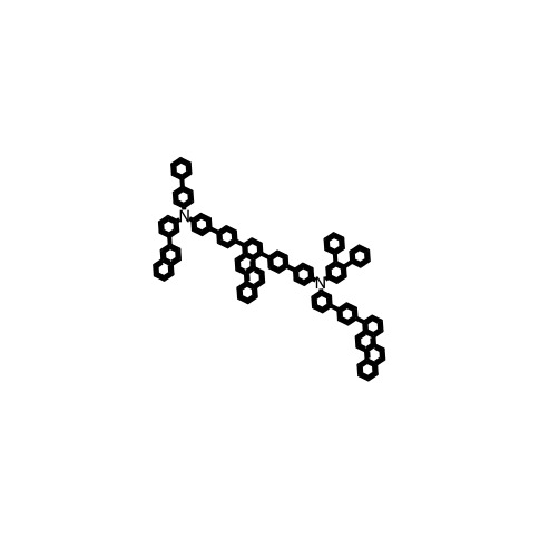 c1ccc(-c2ccc(N(c3ccc(-c4ccc(-c5ccc(-c6ccc(-c7ccc(N(c8cccc(-c9ccc(-c%10cccc%11c%10ccc%10c%12ccccc%12ccc%11%10)cc9)c8)c8ccc(-c9ccccc9)c(-c9ccccc9)c8)cc7)cc6)c6c5ccc5c7ccccc7ccc56)cc4)cc3)c3cccc(-c4ccc5ccccc5c4)c3)cc2)cc1